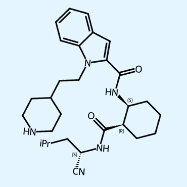 CC(C)C[C@@H](C#N)NC(=O)[C@@H]1CCCC[C@@H]1NC(=O)c1cc2ccccc2n1CCC1CCNCC1